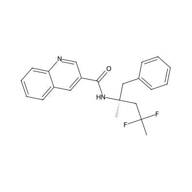 CC(F)(F)C[C@](C)(Cc1ccccc1)NC(=O)c1cnc2ccccc2c1